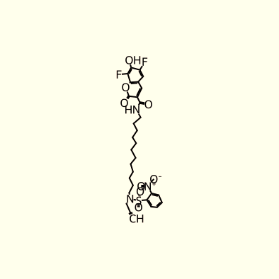 C#CCN(CCCCCCCCCCCCNC(=O)c1cc2cc(F)c(O)c(F)c2oc1=O)S(=O)(=O)c1ccccc1[N+](=O)[O-]